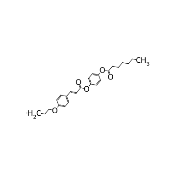 [CH2]CCOc1ccc(/C=C/C(=O)Oc2ccc(OC(=O)CCCCCC)cc2)cc1